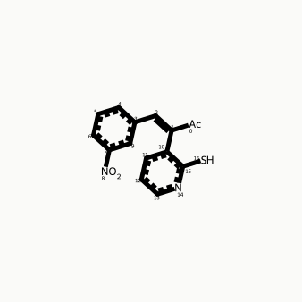 CC(=O)C(=Cc1cccc([N+](=O)[O-])c1)c1cccnc1S